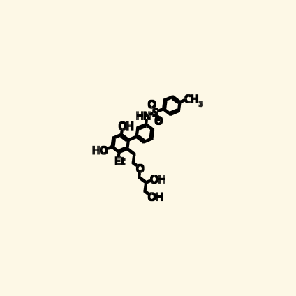 CCc1c(O)cc(O)c(-c2cccc(NS(=O)(=O)c3ccc(C)cc3)c2)c1CCOCC(O)CO